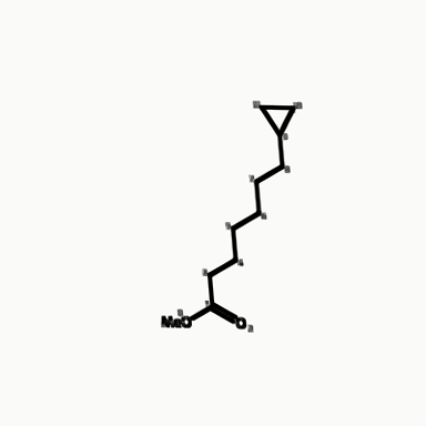 COC(=O)CCCCCCC1[CH]C1